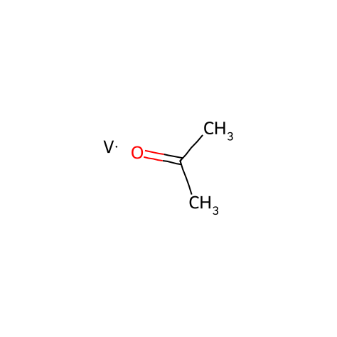 CC(C)=O.[V]